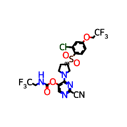 N#Cc1ncc(OC(=O)NCC(F)(F)F)c(N2CC[C@H](S(=O)(=O)c3ccc(OCC(F)(F)F)cc3Cl)C2)n1